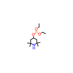 CCOP(OCC)OC1CC(C)(C)NC(C)(C)C1